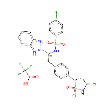 O=C(O)C(F)(F)F.O=C1CC(c2ccc(C[C@H](NS(=O)(=O)c3ccc(Br)cc3)c3nc4ccccc4[nH]3)cc2)S(=O)(=O)N1